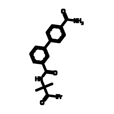 CC(C)C(=O)C(C)(C)NC(=O)c1cccc(-c2ccc(C(N)=O)cc2)c1